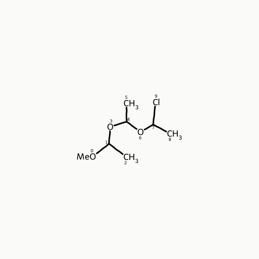 COC(C)OC(C)OC(C)Cl